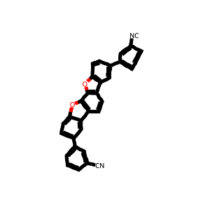 [C-]#[N+]c1cccc(-c2ccc3oc4c(ccc5c6cc(-c7cccc(C#N)c7)ccc6oc54)c3c2)c1